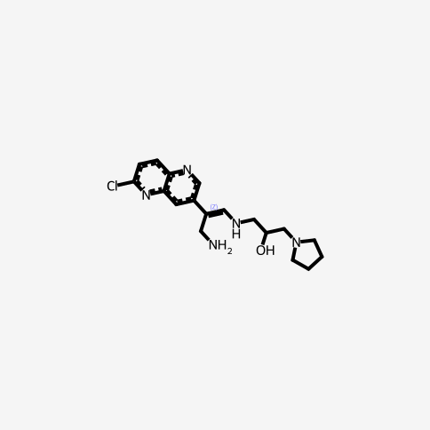 NC/C(=C\NCC(O)CN1CCCC1)c1cnc2ccc(Cl)nc2c1